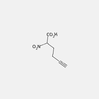 C#CCCC(C(=O)O)[N+](=O)[O-]